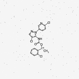 C[C@@H](OC(=O)Nc1c(Cl)cnn1-c1ccc(Cl)nc1)c1ccccc1Cl